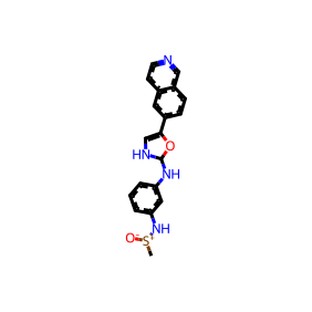 C[S+]([O-])Nc1cccc(NC2NC=C(c3ccc4cnccc4c3)O2)c1